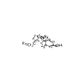 CCOC(=O)c1cccc(Nc2cccc3cc(O)ccc23)c1